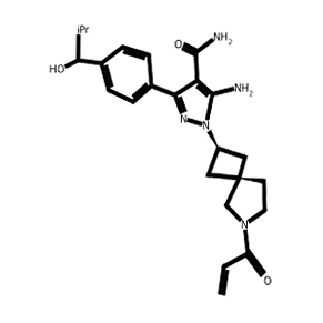 C=CC(=O)N1CC[C@]2(C1)C[C@H](n1nc(-c3ccc(C(O)C(C)C)cc3)c(C(N)=O)c1N)C2